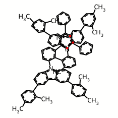 Cc1ccc(-c2ccc3c(c2)c2cc(-c4ccc(C)cc4C)ccc2n3-c2cccc(C#N)c2-c2c(-c3nc(-c4ccccc4)nc(-c4ccccc4)n3)cccc2-n2c3ccc(-c4ccc(C)cc4C)cc3c3cc(-c4ccc(C)cc4C)ccc32)c(C)c1